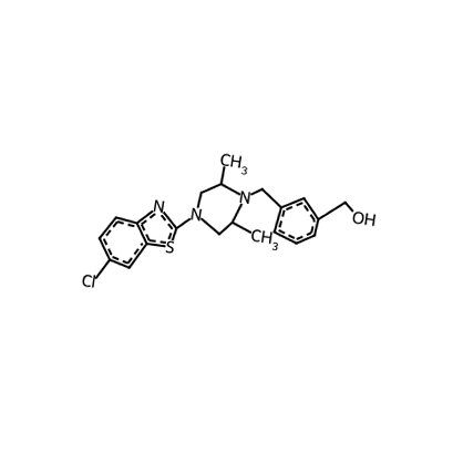 CC1CN(c2nc3ccc(Cl)cc3s2)CC(C)N1Cc1cccc(CO)c1